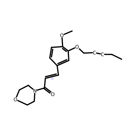 CCCCCOc1cc(/C=C/C(=O)N2CCOCC2)ccc1OC